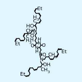 CC/C=C\C/C=C\C/C=C\CC(C)C(O)CN(CCCCC1NC(=O)C(CCCCN(CC(O)C(C)/C=C\C/C=C\C/C=C\CC)CC(O)C(C)(C)/C=C\C/C=C\C/C=C\CC)NC1=O)CC(O)C(C)/C=C\C/C=C\C/C=C\CC